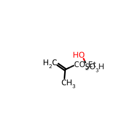 C=C(C)C(=O)OCC.O=S(=O)(O)O